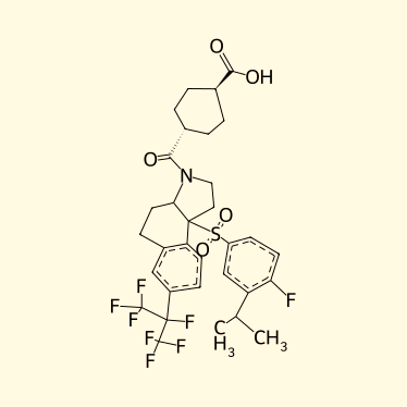 CC(C)c1cc(S(=O)(=O)C23CCN(C(=O)[C@H]4CC[C@H](C(=O)O)CC4)C2CCc2cc(C(F)(C(F)(F)F)C(F)(F)F)ccc23)ccc1F